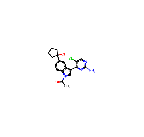 CC(=O)n1cc(-c2nc(N)ncc2Cl)c2cc(C3(O)CCCC3)ccc21